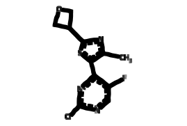 Cc1nc(C2COC2)sc1-c1nc(Cl)ncc1F